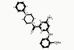 COc1ccccc1Nc1cc(N)nc(C(=O)N2CCN(c3ccccc3)CC2)n1